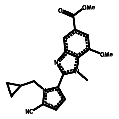 COC(=O)c1cc(OC)c2c(c1)nc(-c1ccc(C#N)n1CC1CC1)n2C